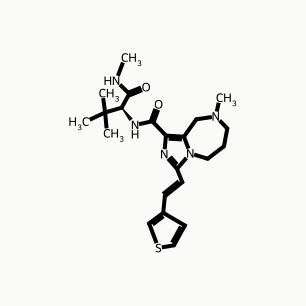 CNC(=O)[C@@H](NC(=O)c1nc(/C=C/c2ccsc2)n2c1CN(C)CCC2)C(C)(C)C